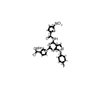 COC(=O)c1ccn(-c2nc(NC(=O)c3ccc([N+](=O)[O-])s3)c3cnn(-c4ccc(F)cc4)c3n2)c1